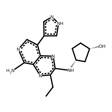 CCc1nc2c(N)ncc(-c3cn[nH]c3)c2nc1N[C@@H]1CC[C@H](O)C1